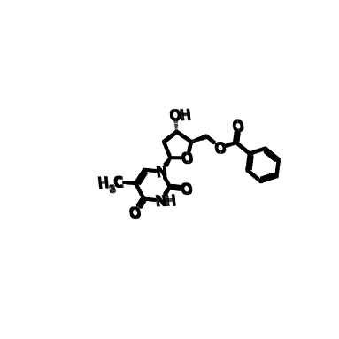 Cc1cn([C@H]2C[C@H](O)[C@@H](COC(=O)c3ccccc3)O2)c(=O)[nH]c1=O